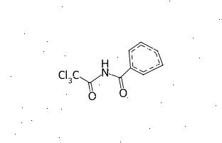 O=C(NC(=O)C(Cl)(Cl)Cl)c1ccccc1